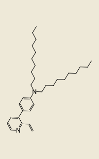 C=Cc1ncccc1-c1ccc(N(CCCCCCCCCC)CCCCCCCCCC)cc1